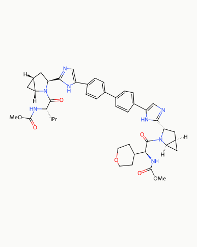 COC(=O)N[C@H](C(=O)N1[C@@H]2C[C@@H]2C[C@H]1c1ncc(-c2ccc(-c3ccc(-c4cnc([C@@H]5C[C@H]6C[C@H]6N5C(=O)[C@@H](NC(=O)OC)C5CCOCC5)[nH]4)cc3)cc2)[nH]1)C(C)C